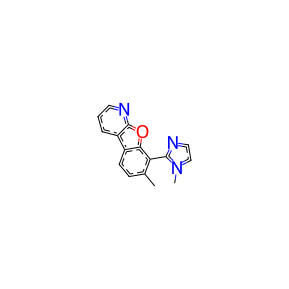 Cc1ccc2c(oc3ncccc32)c1-c1nccn1C